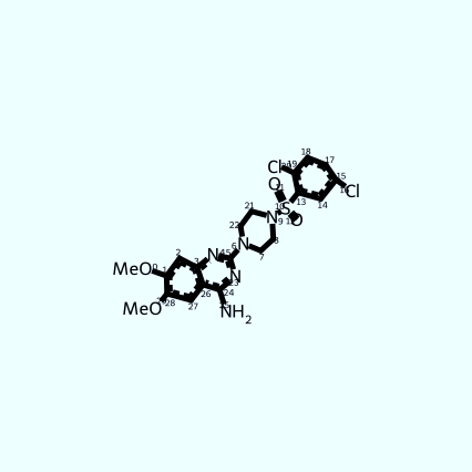 COc1cc2nc(N3CCN(S(=O)(=O)c4cc(Cl)ccc4Cl)CC3)nc(N)c2cc1OC